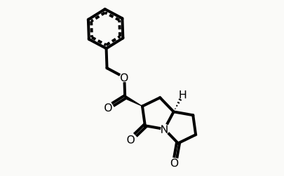 O=C(OCc1ccccc1)[C@H]1C[C@H]2CCC(=O)N2C1=O